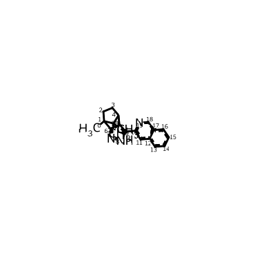 CC12CCC(c3c1n[nH]c3-c1cc3ccccc3cn1)C2(C)C